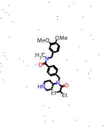 CCC(CC)C(=O)N(Cc1ccc(C(=O)N(C)Cc2ccc(OC)c(OC)c2)cc1)C1CCNCC1